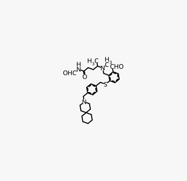 CC(CCC(=O)NC=O)N(C)Cc1c(C=O)cccc1SCc1ccc(CN2CCC3(CCCCC3)CC2)cc1